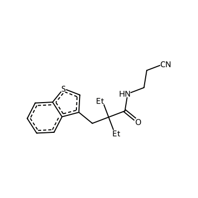 CCC(CC)(Cc1csc2ccccc12)C(=O)NCCC#N